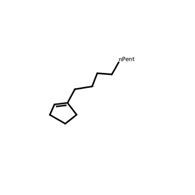 CCCCCCC[CH]CC1=CCCC1